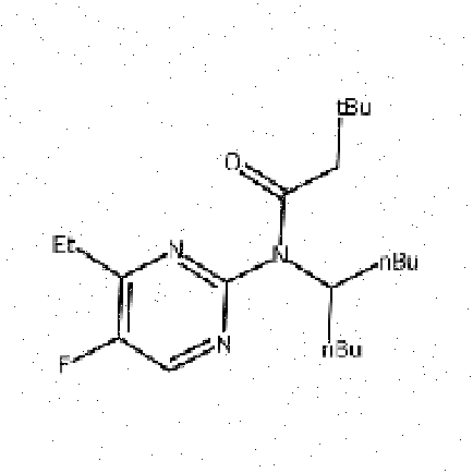 CCCCC(CCCC)N(C(=O)CC(C)(C)C)c1ncc(F)c(CC)n1